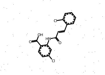 O=C(/C=C/c1ccccc1Cl)Nc1cc(Cl)ccc1C(=O)O